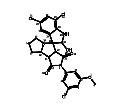 COc1cc(Cl)cc(N2C(=O)C3C4CCCN4C4(c5cc(Cl)cc(Cl)c5NC4O)C3C2=O)c1